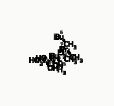 CC(C)C.CCC.CCC(C)C.CCC(C)C.O=C(O)O.O=C(O)O